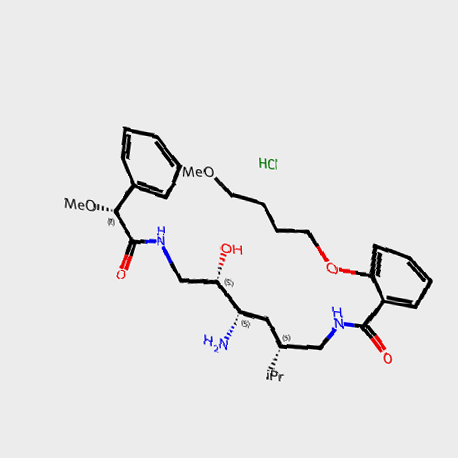 COCCCCOc1ccccc1C(=O)NC[C@@H](C[C@H](N)[C@@H](O)CNC(=O)[C@H](OC)c1ccccc1)C(C)C.Cl